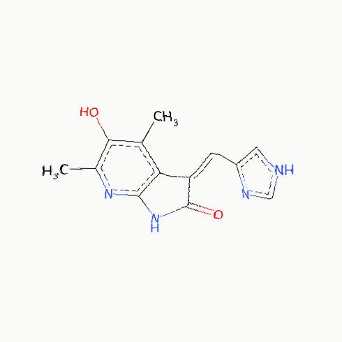 Cc1nc2c(c(C)c1O)/C(=C/c1c[nH]cn1)C(=O)N2